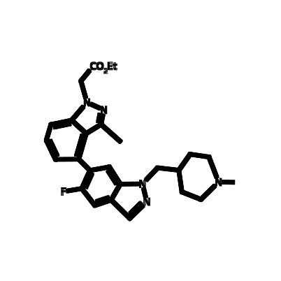 CCOC(=O)Cn1nc(C)c2c(-c3cc4c(cnn4CC4CCN(C)CC4)cc3F)cccc21